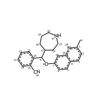 Cc1ccc2ccc(OC(c3ccccc3C#N)C3CCCNCC3)cc2n1